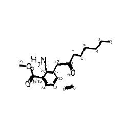 C=C.CCCCCCC(=O)Cc1cccc(C(=O)OC)c1N